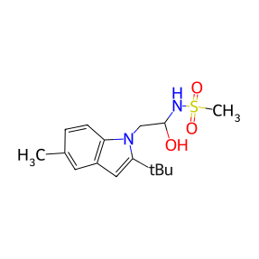 Cc1ccc2c(c1)cc(C(C)(C)C)n2CC(O)NS(C)(=O)=O